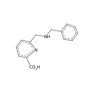 O=C(O)c1cccc(CNCc2ccccc2)n1